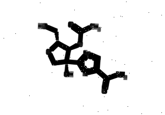 CC(=O)O[C@@H]1[C@@H](CO)OC[C@]1(O)c1nc(C(N)=O)c[se]1